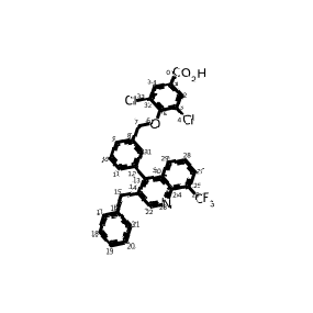 O=C(O)c1cc(Cl)c(OCc2cccc(-c3c(Cc4ccccc4)cnc4c(C(F)(F)F)cccc34)c2)c(Cl)c1